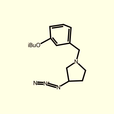 CC(C)COc1cccc(CN2CCC(N=[N+]=[N-])C2)c1